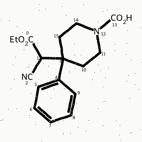 CCOC(=O)C(C#N)C1(c2ccccc2)CCN(C(=O)O)CC1